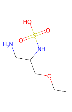 CCOCC(CN)NS(=O)(=O)O